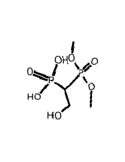 COP(=O)(OC)C(CO)P(=O)(O)O